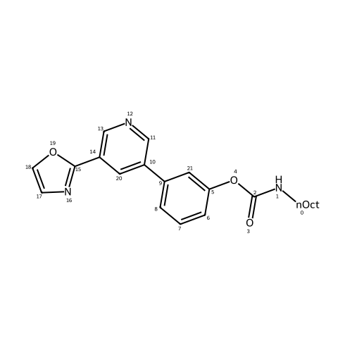 CCCCCCCCNC(=O)Oc1cccc(-c2cncc(-c3ncco3)c2)c1